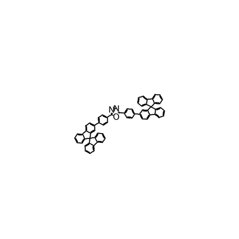 c1ccc2c(c1)-c1ccccc1C21c2ccccc2-c2ccc(-c3ccc(-c4nnc(-c5ccc(-c6ccc7c(c6)C6(c8ccccc8-c8ccccc86)c6ccccc6-7)cc5)o4)cc3)cc21